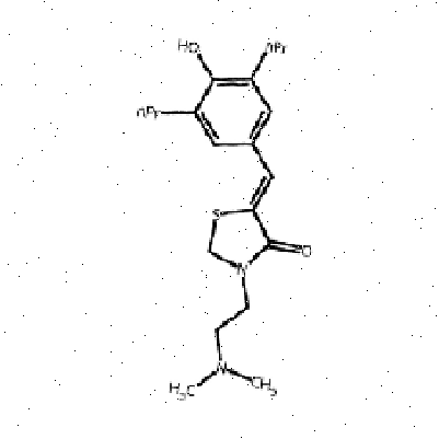 CCCc1cc(/C=C2\SCN(CCN(C)C)C2=O)cc(CCC)c1O